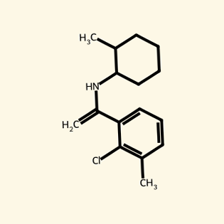 C=C(NC1CCCCC1C)c1cccc(C)c1Cl